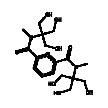 CN(C(=O)c1cccc(C(=O)N(C)C(CO)(CO)CO)n1)C(CO)(CO)CO